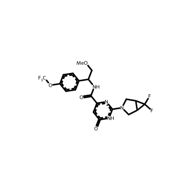 COCC(NC(=O)c1cc(=O)[nH]c(N2CC3C(C2)C3(F)F)n1)c1ccc(OC(F)(F)F)cc1